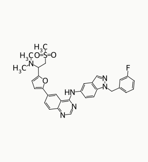 CN(C)C(CS(C)(=O)=O)c1ccc(-c2ccc3ncnc(Nc4ccc5c(cnn5Cc5cccc(F)c5)c4)c3c2)o1